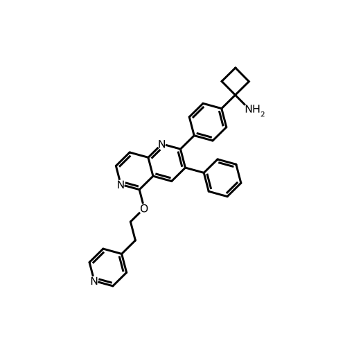 NC1(c2ccc(-c3nc4ccnc(OCCc5ccncc5)c4cc3-c3ccccc3)cc2)CCC1